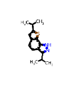 CC(C)c1cc2ccc3c(C(C)C)n[nH]c3c2s1